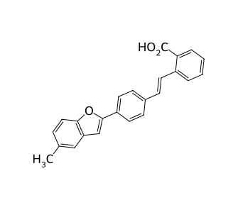 Cc1ccc2oc(-c3ccc(/C=C/c4ccccc4C(=O)O)cc3)cc2c1